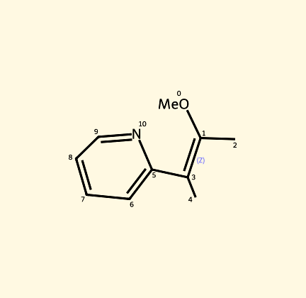 CO/C(C)=C(/C)c1ccccn1